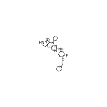 O=C1NCCC12Cc1cnc(Nc3ccc(OCCN4CCCC4)c(F)c3)nc1N(C1CCCC1)C2=O